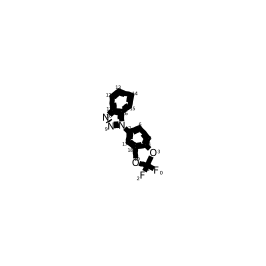 FC1(F)Oc2ccc(-n3nnc4ccccc43)cc2O1